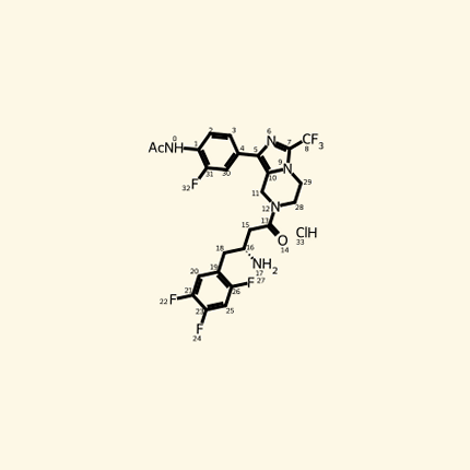 CC(=O)Nc1ccc(-c2nc(C(F)(F)F)n3c2CN(C(=O)C[C@H](N)Cc2cc(F)c(F)cc2F)CC3)cc1F.Cl